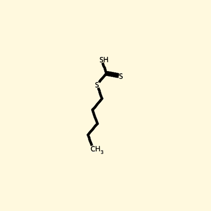 CCCCCSC(=S)S